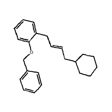 C(=C\CC1CCCCC1)/Cc1ccccc1OCc1ccccc1